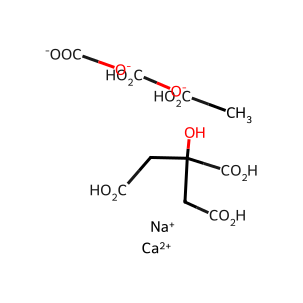 CC(=O)O.O=C(O)CC(O)(CC(=O)O)C(=O)O.O=C([O-])O.O=C([O-])[O-].[Ca+2].[Na+]